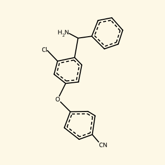 N#Cc1ccc(Oc2ccc(C(N)c3ccccc3)c(Cl)c2)cc1